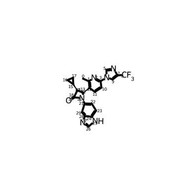 Cc1nc(-n2cnc(C(F)(F)F)c2)ccc1[C@@H]1[C@H](C2CC2)C(=O)N1c1ccc2[nH]cnc2c1